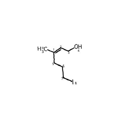 CC(=CCO)CCCI